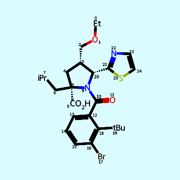 CCOC[C@H]1C[C@@](CC(C)C)(C(=O)O)N(C(=O)c2cccc(Br)c2C(C)(C)C)[C@H]1c1nccs1